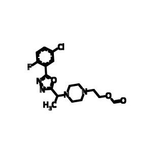 CC(c1nnc(-c2cc(Cl)ccc2F)o1)N1CCN(CCOC=O)CC1